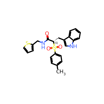 Cc1ccc(S(=O)(=O)[C@@H](Cc2c[nH]c3ccccc23)C(=O)NCc2cccs2)cc1